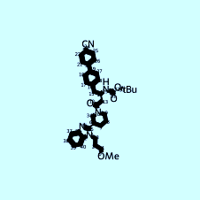 COCCCn1c([C@@H]2CCCN(C(=O)C[C@@H](Cc3ccc(-c4ccc(C#N)cc4)cc3)NC(=O)OC(C)(C)C)C2)nc2ccccc21